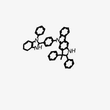 CC1(c2ccccc2)c2cc3c(cc2NC1c1ccccc1)c1ccccc1n3-c1ccc(C2NC3=C(C=CCC3)N2c2ccccc2)cc1